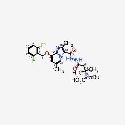 Cc1cc(OCc2c(F)cccc2F)c2nc(C)c(C(=O)NNC(=O)CC(C)(C)N(C(=O)O)C(C)(C)C)n2c1